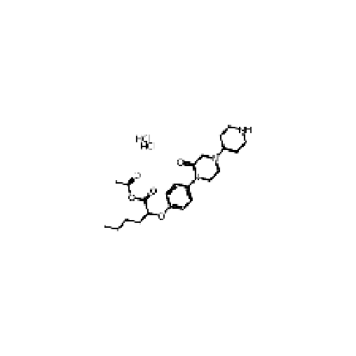 CCCCC(Oc1ccc(N2CCN(C3CCNCC3)CC2=O)cc1)C(=O)OC(C)=O.Cl.Cl